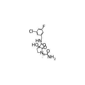 C[C@@H](C(N)=O)N1CC[C@](O)(C(=O)NCc2cc(F)cc(Cl)c2)C1=O